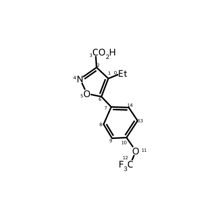 CCc1c(C(=O)O)noc1-c1ccc(OC(F)(F)F)cc1